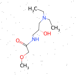 CCN(CC)C[C@H](O)CNC(=O)COC